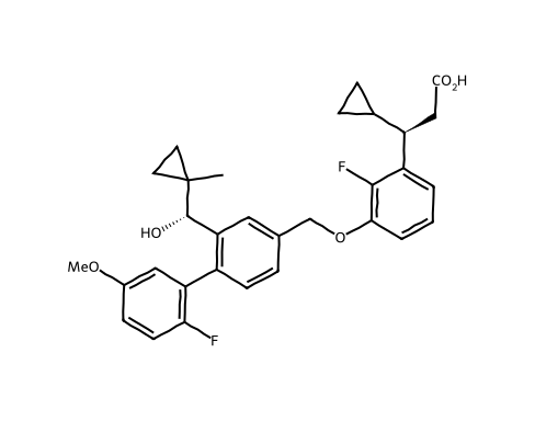 COc1ccc(F)c(-c2ccc(COc3cccc([C@H](CC(=O)O)C4CC4)c3F)cc2[C@H](O)C2(C)CC2)c1